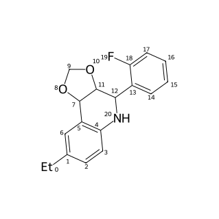 CCc1ccc2c(c1)C1OCOC1C(c1ccccc1F)N2